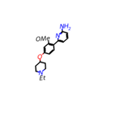 CCN1CCC(Oc2ccc(-c3cccc(N)n3)c(OC)c2)CC1